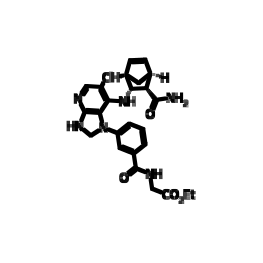 CCOC(=O)CNC(=O)c1cccc(N2CNc3ncc(Cl)c(N[C@H]4[C@H](C(N)=O)[C@@H]5C=C[C@@H]4C5)c32)c1